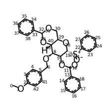 COc1ccc(CO[C@@H]2C(OC(=O)c3ccccc3)[C@@H]([S+]([O-])c3ccccc3)OC3COC(c4ccccc4)O[C@H]32)cc1